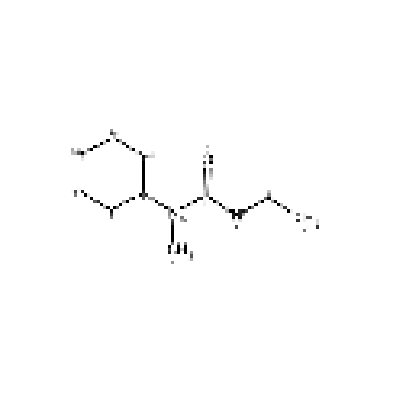 CC[N]C(=O)N(C)C1CCCCC1